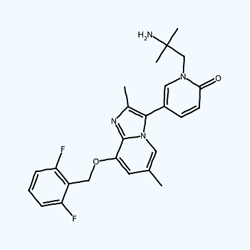 Cc1cc(OCc2c(F)cccc2F)c2nc(C)c(-c3ccc(=O)n(CC(C)(C)N)c3)n2c1